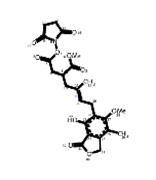 COC(=O)C(CC(=O)ON1C(=O)CCC1=O)C/C(C)=C/Cc1c(O)c2c(c(C)c1OC)COC2=O